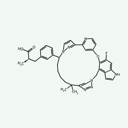 C[C@H](Cc1cccc(C2CCCCC(C)(C)c3cn(nn3)Cc3c(c(F)cc4[nH]ccc34)Oc3ccnc(c3)-c3ccn2n3)c1)C(=O)O